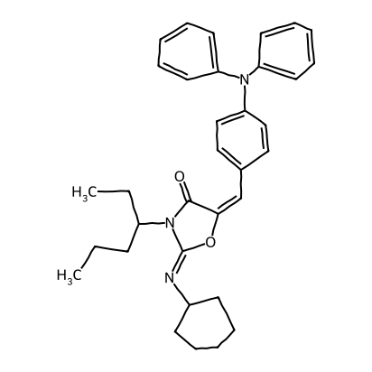 CCCC(CC)N1C(=O)/C(=C\c2ccc(N(c3ccccc3)c3ccccc3)cc2)O/C1=N\C1CCCCC1